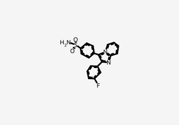 NS(=O)(=O)c1ccc(-c2c(-c3cccc(F)c3)nc3ccccn23)cc1